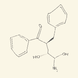 NC(O)[C@H](O)[C@H](Cc1ccccc1)C(=O)c1ccccc1